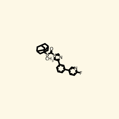 CN(C(=O)n1cnc(-c2cccc(-c3ccc(F)nc3)c2)c1)C12CC3CC(CC(C3)C1)C2